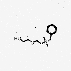 C[N+](C)(CCOCCO)Cc1ccccc1